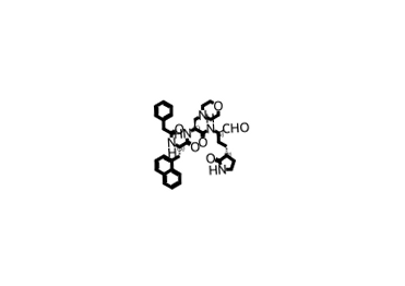 O=C[C@H](CC[C@@H]1CCNC1=O)NC(=O)[C@H](CN1CCOCC1)NC(=O)[C@H](Cc1cccc2ccccc12)NC(=O)Cc1ccccc1